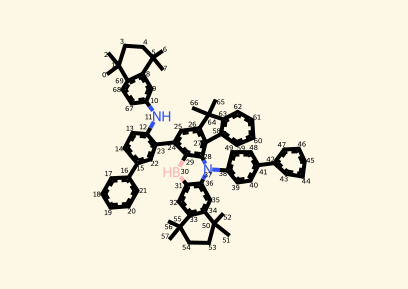 CC1(C)CCC(C)(C)c2cc(Nc3ccc(-c4ccccc4)cc3-c3cc4c(c5c3Bc3cc6c(cc3N5c3ccc(-c5ccccc5)cc3)C(C)(C)CCC6(C)C)-c3ccccc3C4(C)C)ccc21